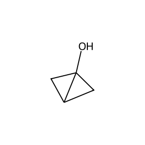 OC12CC1C2